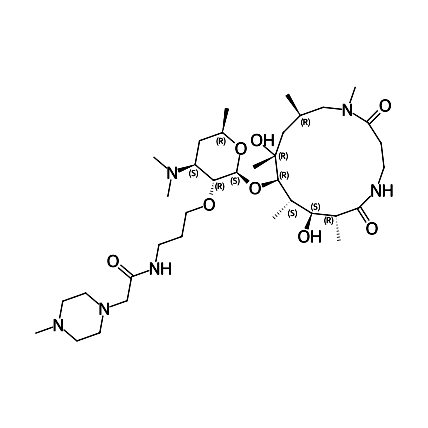 C[C@H]1CN(C)C(=O)CCNC(=O)[C@H](C)[C@@H](O)[C@H](C)[C@@H](O[C@@H]2O[C@H](C)C[C@H](N(C)C)[C@H]2OCCCNC(=O)CN2CCN(C)CC2)[C@](C)(O)C1